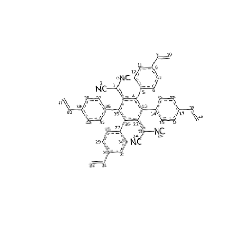 [C-]#[N+]C(C#N)=c1c(-c2ccc(C=C)cc2)c(-c2ccc(C=C)cc2)c(=C(C#N)[N+]#[C-])c(-c2ccc(C=C)cc2)c1-c1ccc(C=C)cc1